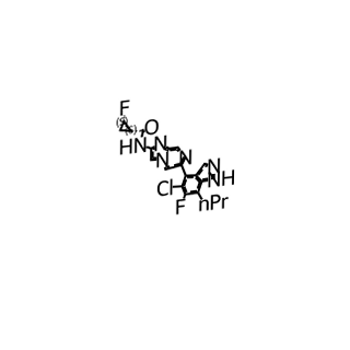 CCCc1c(F)c(Cl)c(-c2cn3cc(NC(=O)[C@@H]4C[C@@H]4F)nc3cn2)c2cn[nH]c12